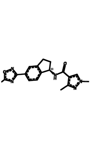 Cc1nc(-c2ccc3c(c2)CC[C@H]3NC(=O)c2cn(C)nc2C)no1